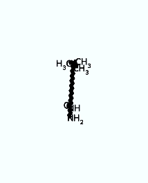 CCC(CC)(CC)CCCCCCCCCCCCCCCCC(=O)NCCCN